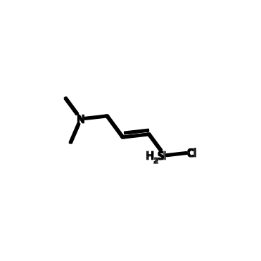 CN(C)CC=C[SiH2]Cl